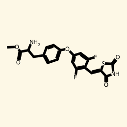 COC(=O)C(N)Cc1ccc(Oc2cc(F)c(C=C3SC(=O)NC3=O)c(F)c2)cc1